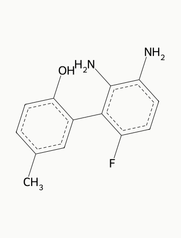 Cc1ccc(O)c(-c2c(F)ccc(N)c2N)c1